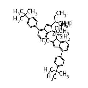 CCC(C)C1=Cc2c(-c3ccc(C(C)(C)C)cc3)cccc2[CH]1[Zr]([CH3])([CH3])(=[SiH2])[CH]1C(C)=Cc2c(-c3ccc(C(C)(C)C)cc3)cccc21.Cl.Cl